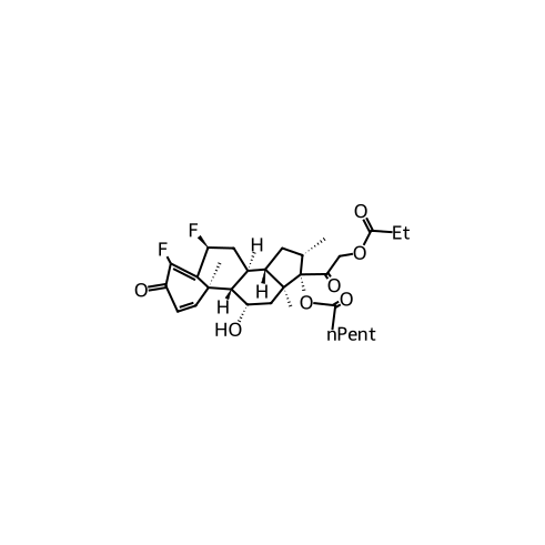 CCCCCC(=O)O[C@@]1(C(=O)COC(=O)CC)[C@@H](C)C[C@H]2[C@@H]3C[C@H](F)C4=C(F)C(=O)C=C[C@]4(C)[C@H]3[C@@H](O)C[C@@]21C